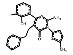 Cc1ccc(-n2c(C)nc(-c3cccc(F)c3O)c(CCc3ccccc3)c2=O)s1